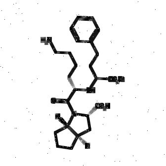 CCOC(=O)C(CCc1ccccc1)N[C@@H](CCCCN)C(=O)N1[C@H](C(=O)O)C[C@H]2CCC[C@@H]21